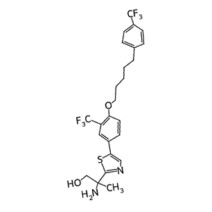 CC(N)(CO)c1ncc(-c2ccc(OCCCCCc3ccc(C(F)(F)F)cc3)c(C(F)(F)F)c2)s1